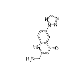 NCc1cc(=O)c2cc(-n3ncnn3)ccc2[nH]1